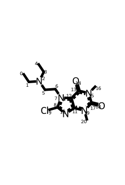 CCN(CC)CCn1c(Cl)nc2c1c(=O)n(C)c(=O)n2C